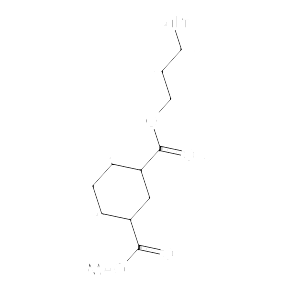 COC(=O)C1CCCC(C(=O)OCCCC(C)C)C1